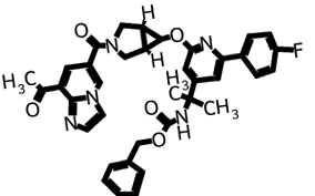 CC(=O)c1cc(C(=O)N2C[C@@H]3C(Oc4cc(C(C)(C)NC(=O)OCc5ccccc5)cc(-c5ccc(F)cc5)n4)[C@@H]3C2)cn2ccnc12